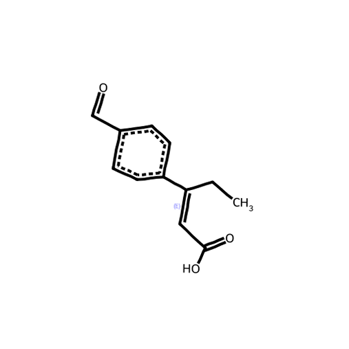 CC/C(=C\C(=O)O)c1ccc(C=O)cc1